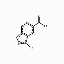 CCC(=O)c1cc2c(cn1)cnn2CC